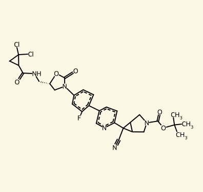 CC(C)(C)OC(=O)N1CC2C(C1)C2(C#N)c1ccc(-c2ccc(N3C[C@H](CNC(=O)C4CC4(Cl)Cl)OC3=O)cc2F)cn1